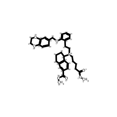 COC(=O)CCCCN(CCc1ccccc1OCc1ccc2c(c1)OCCO2)C1CCCc2cc(C(=O)OC)ccc21